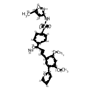 COc1cc(OC)c(-c2cccs2)cc1C=CC(=O)c1ccc(S(=O)(=O)Nc2cc(C)on2)cc1.[Na]